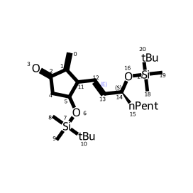 C=C1C(=O)CC(O[Si](C)(C)C(C)(C)C)C1/C=C/[C@H](CCCCC)O[Si](C)(C)C(C)(C)C